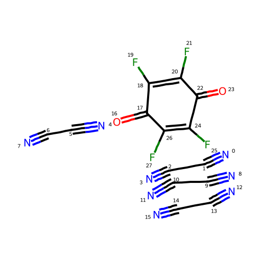 N#CC#N.N#CC#N.N#CC#N.N#CC#N.O=C1C(F)=C(F)C(=O)C(F)=C1F